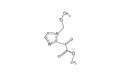 COCn1ccnc1C(=O)C(=O)OC